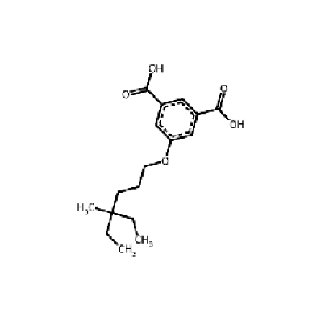 CCC(C)(CC)CCCOc1cc(C(=O)O)cc(C(=O)O)c1